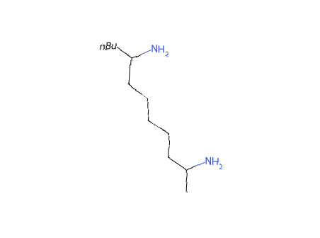 CCCCC(N)CCCCCC(C)N